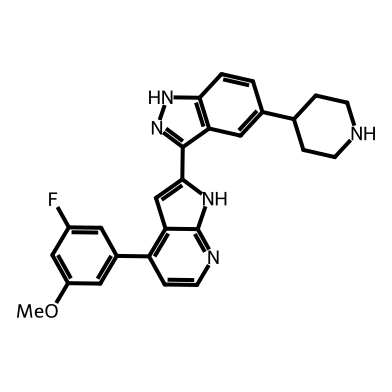 COc1cc(F)cc(-c2ccnc3[nH]c(-c4n[nH]c5ccc(C6CCNCC6)cc45)cc23)c1